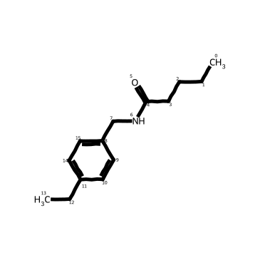 CCCCC(=O)NCc1ccc(CC)cc1